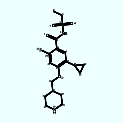 CCS(=O)(=O)NC(=O)c1cc(C2CC2)c(OCC2CCNCC2)cc1F